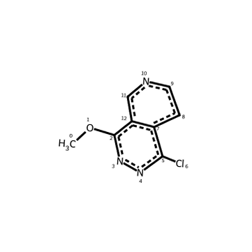 COc1nnc(Cl)c2ccncc12